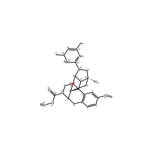 COc1ccc2c(c1)C13CCN(C(=O)OC(C)(C)C)C(C2)C12CCC1C3[C@@H](CN1C1=NC(C)=CC(C)N1)C2